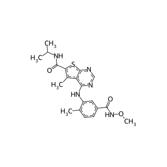 CONC(=O)c1ccc(C)c(Nc2ncnc3sc(C(=O)NC(C)C)c(C)c23)c1